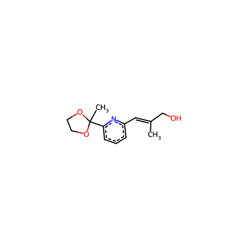 C/C(=C\c1cccc(C2(C)OCCO2)n1)CO